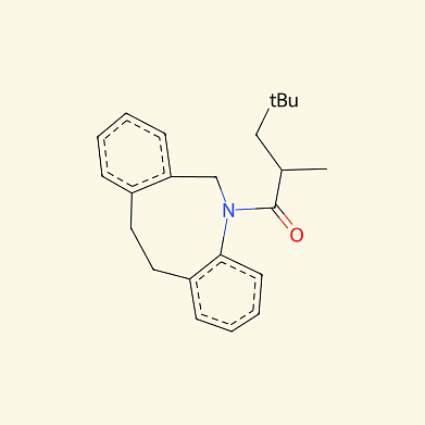 CC(CC(C)(C)C)C(=O)N1Cc2ccccc2CCc2ccccc21